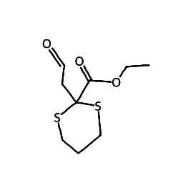 CCOC(=O)C1(CC=O)SCCCS1